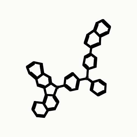 c1ccc(N(c2ccc(-c3ccc4ccccc4c3)cc2)c2ccc(-n3c4cc5ccccc5cc4c4c5ccccc5ccc43)cc2)cc1